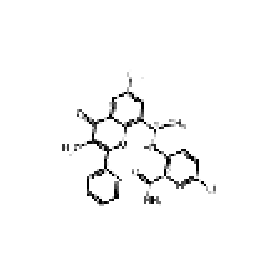 Cc1cc([C@@H](C)Nc2ccc(Cl)nc2C(N)=O)c2oc(-c3ccccc3)c(C)c(=O)c2c1